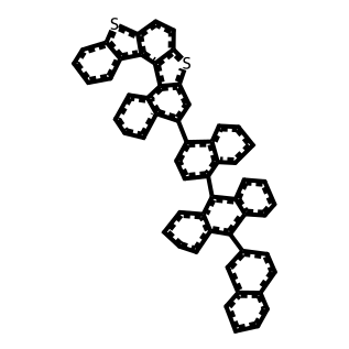 c1ccc2cc(-c3c4ccccc4c(-c4ccc(-c5cc6sc7ccc8sc9ccccc9c8c7c6c6ccccc56)c5ccccc45)c4ccccc34)ccc2c1